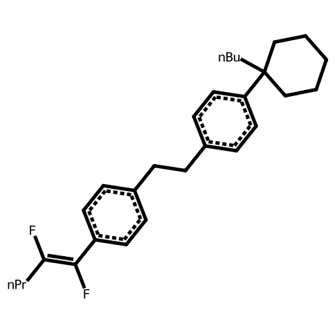 CCCCC1(c2ccc(CCc3ccc(/C(F)=C(\F)CCC)cc3)cc2)CCCCC1